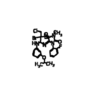 CC(C)Oc1cccc(NC(N=C2C(=O)N(C)C(=O)N2c2ccccc2F)C(Br)(Br)CCl)c1